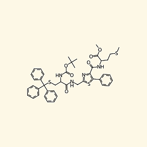 COC(=O)C(CCSC)NC(=O)c1nc(CNC(=O)C(CSC(c2ccccc2)(c2ccccc2)c2ccccc2)NC(=O)OC(C)(C)C)sc1-c1ccccc1